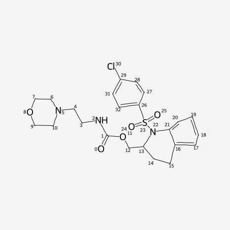 O=C(NCCN1CCOCC1)OCC1CCc2ccccc2N1S(=O)(=O)c1ccc(Cl)cc1